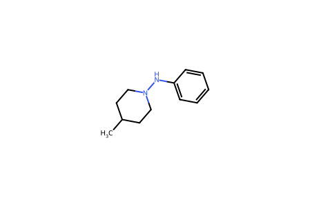 CC1CCN(Nc2ccccc2)CC1